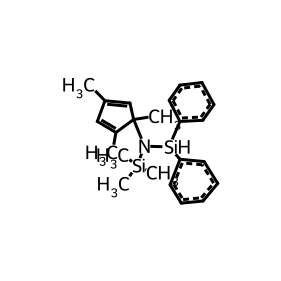 CC1=CC(C)(N([SiH](c2ccccc2)c2ccccc2)[Si](C)(C)C)C(C)=C1